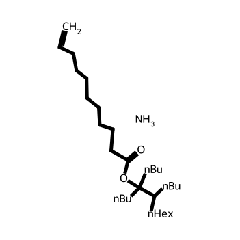 C=CCCCCCCCCC(=O)OC(CCCC)(CCCC)C(CCCC)CCCCCC.N